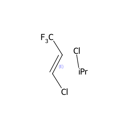 CC(C)Cl.FC(F)(F)/C=C/Cl